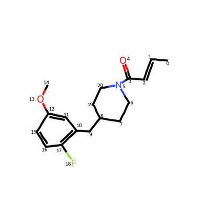 CC=CC(=O)N1CCC(Cc2cc(OC)ccc2F)CC1